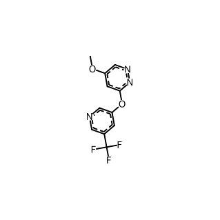 COc1cnnc(Oc2cncc(C(F)(F)F)c2)c1